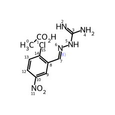 CC(=O)O.N=C(N)N/N=C/c1cc([N+](=O)[O-])ccc1Cl